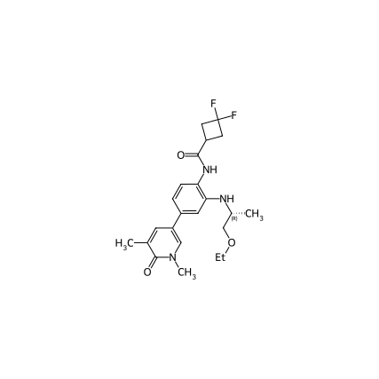 CCOC[C@@H](C)Nc1cc(-c2cc(C)c(=O)n(C)c2)ccc1NC(=O)C1CC(F)(F)C1